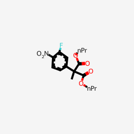 CCCOC(=O)C(C)(C(=O)OCCC)c1ccc([N+](=O)[O-])c(F)c1